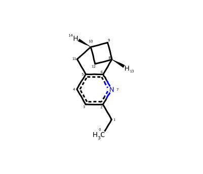 CCc1ccc2c(n1)[C@H]1C[C@@H](C2)C1